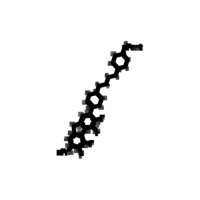 CCCCCC1CCC(CCCCC2CC=C(c3cc4c(c(F)c3F)-c3c(cc(CCC)c(F)c3F)C4)CC2)CC1